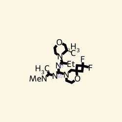 CC/C(=N\C(=N/C(C)NC)N1CCOC2(C1)CC(F)(F)C2)N1CCOC[C@@H]1C